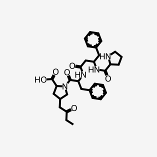 CCC(=O)CC1CC(C(=O)O)N(C(=O)C(Cc2ccccc2)NC(=O)CC(Cc2ccccc2)NC(=O)C2CCCN2)C1